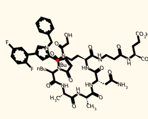 CCCCC(C(=O)N[C@@H](C)C(=O)N[C@@H](C)C(=O)N[C@@H](CC(N)=O)C(=O)N[C@@H](CCN(C(=O)CO)[C@@H](c1cc(-c2cc(F)ccc2F)cn1Cc1ccccc1)C(C)(C)C)C(=O)NCCC(=O)N[C@@H](CCC(=O)O)C(=O)O)N1C(=O)C=CC1=O